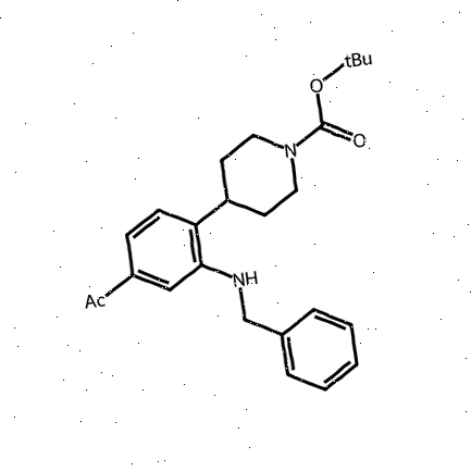 CC(=O)c1ccc(C2CCN(C(=O)OC(C)(C)C)CC2)c(NCc2ccccc2)c1